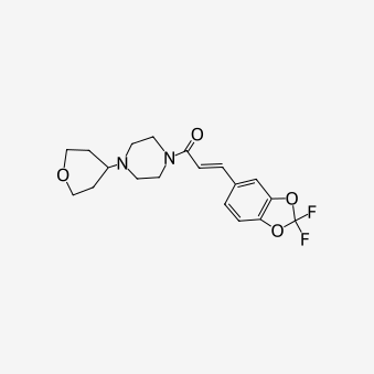 O=C(/C=C/c1ccc2c(c1)OC(F)(F)O2)N1CCN(C2CCOCC2)CC1